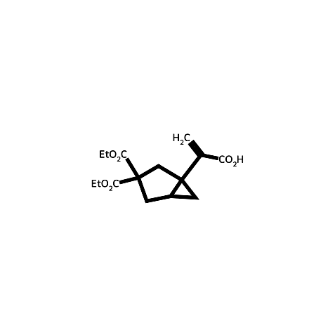 C=C(C(=O)O)C12CC1CC(C(=O)OCC)(C(=O)OCC)C2